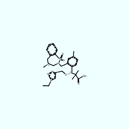 CCn1cc(CO[C@H](c2ccc(C)cc2CN2C[C@@H](C)Cc3ccccc3S2(=O)=O)C(C)(C)C(=O)O)nn1